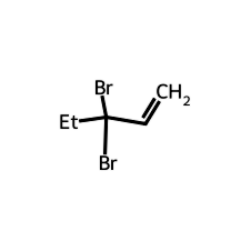 C=CC(Br)(Br)CC